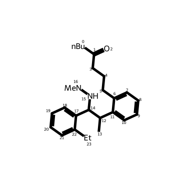 CCCCC(=O)CCCc1ccccc1C(C)C(NNC)c1ccccc1CC